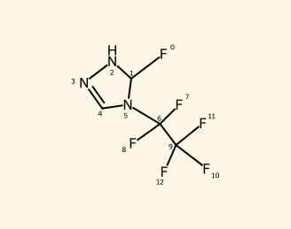 FC1NN=CN1C(F)(F)C(F)(F)F